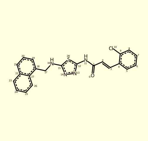 O=C(/C=C/c1ccccc1Cl)Nc1nnc(NCc2cccc3ccccc23)s1